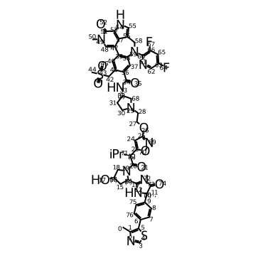 Cc1ncsc1-c1ccc([C@@]2(C)NC([C@H]3C[C@@H](O)CN3C(=O)[C@H](c3cc(OCCN4CC[C@H](NC(=O)c5cc6c(cc5CS(C)(=O)=O)-c5cn(C)c(=O)c7[nH]cc(c57)CN6c5ncc(F)cc5F)C4)no3)C(C)C)=NC2=O)cc1